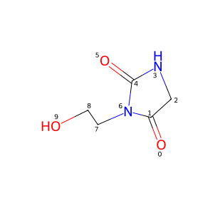 O=C1CNC(=O)N1CCO